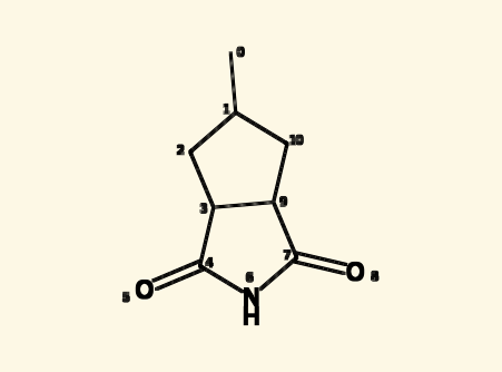 CC1CC2C(=O)NC(=O)C2C1